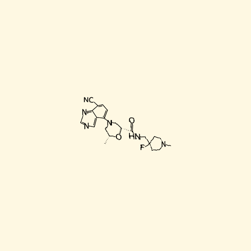 C[C@@H]1CN(c2ccc(C#N)c3ncncc23)C[C@H](C(=O)NCC2(F)CCN(C)CC2)O1